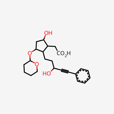 O=C(O)CC1C(O)CC(OC2CCCCO2)C1CCC(O)C#Cc1ccccc1